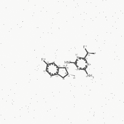 C[C@H](F)c1nc(N)nc(N[C@H]2c3cc(F)ccc3C[C@H]2C)n1